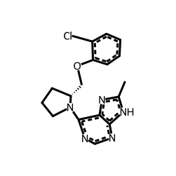 Cc1nc2c(N3CCC[C@@H]3COc3ccccc3Cl)ncnc2[nH]1